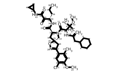 C=C(CC1CCCCC1)N[C@H](C(=O)N1C[C@@]2(CC(c3cc(Cl)c(OC)cc3C)=NO2)C[C@H]1C(=O)N[C@@H](CCC)C(=O)C(=O)NC1CC1)C(C)(C)OC